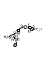 CCn1cc(C(=O)O)c(=O)c2cc(F)c(N3CCN(C(=O)OCc4ccc(NC(=O)C(CSCC(N)=O)NC(=O)C(NC(=O)OCc5ccccc5)C(C)C)cc4)CC3)cc21